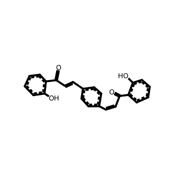 O=C(/C=C\c1ccc(/C=C/C(=O)c2ccccc2O)cc1)c1ccccc1O